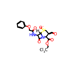 O=C=C1C[S+]([O-])[C@H]2C(NC(=O)COc3ccccc3)C(=O)N2C1C(=O)OCC(Cl)(Cl)Cl